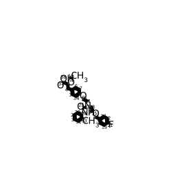 CCOC(Cc1ccc(OCCN(CCOCc2ccc(F)cc2)C(=O)Nc2ccccc2C)cc1)C(=O)O